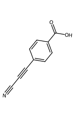 N#CC#Cc1ccc(C(=O)O)cc1